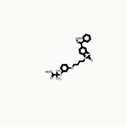 CO/N=C(\c1ccccc1)c1ccc2c(c1)sc(=O)n2CCCCOc1cccc(OC(C)(C)C(=O)OC)c1